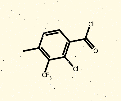 Cc1ccc(C(=O)Cl)c(Cl)c1C(F)(F)F